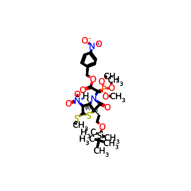 COP(OC)(OC)=C(C(=O)OCc1ccc([N+](=O)[O-])cc1)N1C(=O)[C@@]2(CCO[Si](C)(C)C(C)(C)C)SC(SC)C([N+](=O)[O-])[C@@H]12